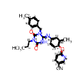 Cc1ccc(Cn2c(=O)n(CCC(=O)O)c(=O)[nH]/c2=N\c2ccc(Oc3ccc(C#N)cn3)c(C)c2)cc1